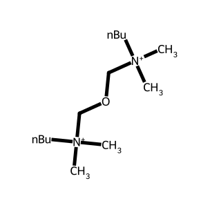 CCCC[N+](C)(C)COC[N+](C)(C)CCCC